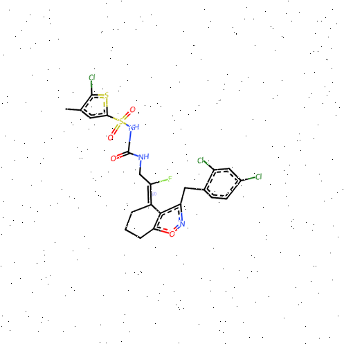 Cc1cc(S(=O)(=O)NC(=O)NC/C(F)=C2\CCCc3onc(Cc4ccc(Cl)cc4Cl)c32)sc1Cl